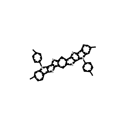 Cc1ccc(-n2c3cc(C)ccc3c3sc4c5cc6sc7c(sc8c9ccc(C)cc9n(-c9ccc(C)cc9)c87)c6cc5sc4c32)cc1